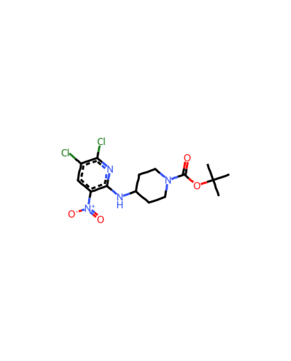 CC(C)(C)OC(=O)N1CCC(Nc2nc(Cl)c(Cl)cc2[N+](=O)[O-])CC1